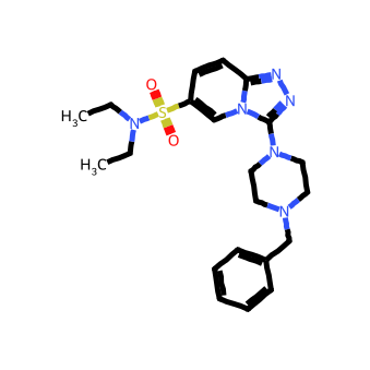 CCN(CC)S(=O)(=O)c1ccc2nnc(N3CCN(Cc4ccccc4)CC3)n2c1